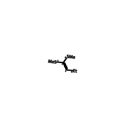 [CH2]CC=C(SC)SC